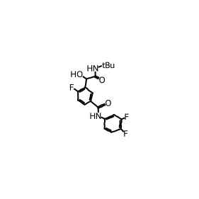 CC(C)(C)NC(=O)C(O)c1cc(C(=O)Nc2ccc(F)c(F)c2)ccc1F